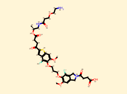 COc1cc2c(c(F)c1OCCCOc1c(OC)cc3sc(C(=O)CCC(=O)O[C@@H](C)CNC(=O)CCOCCN)cc3c1F)CN(C(=O)CCC(=O)O)C2